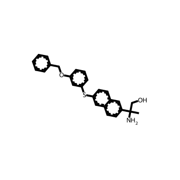 CC(N)(CO)c1ccc2cc(Sc3cccc(OCc4ccccc4)c3)ccc2c1